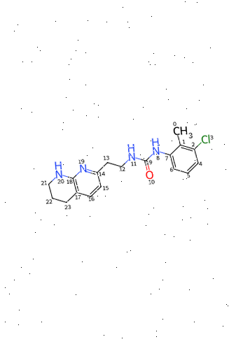 Cc1c(Cl)cccc1NC(=O)NCCc1ccc2c(n1)NCCC2